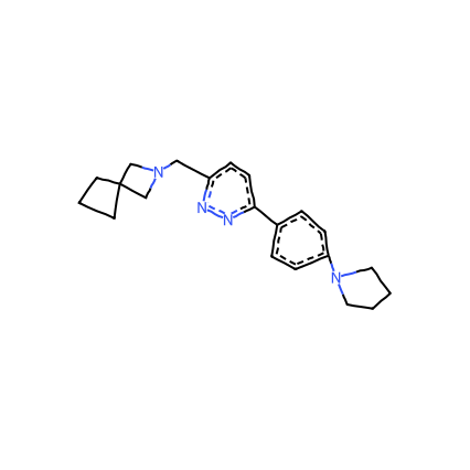 c1cc(N2CCCC2)ccc1-c1ccc(CN2CC3(CCC3)C2)nn1